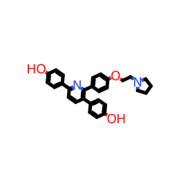 Oc1ccc(-c2ccc(-c3ccc(O)cc3)c(-c3ccc(OCCN4CCCC4)cc3)n2)cc1